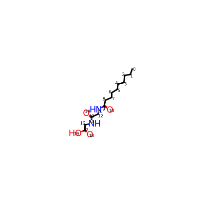 CCCCCCCCCC(=O)NCC(=O)NCC(=O)O